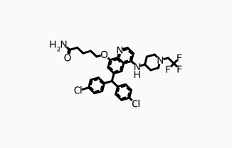 NC(=O)CCCCOc1cc(C(c2ccc(Cl)cc2)c2ccc(Cl)cc2)cc2c(NC3CCN(CC(F)(F)F)CC3)ccnc12